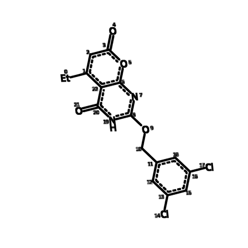 CCc1cc(=O)oc2nc(OCc3cc(Cl)cc(Cl)c3)[nH]c(=O)c12